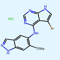 COc1cc2[nH]ncc2cc1Nc1ncnc2[nH]cc(Br)c12.Cl